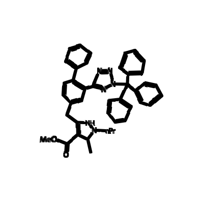 CCCN1NC(Cc2ccc(-c3ccccc3)c(-c3nnn(C(c4ccccc4)(c4ccccc4)c4ccccc4)n3)c2)=C(C(=O)OC)C1C